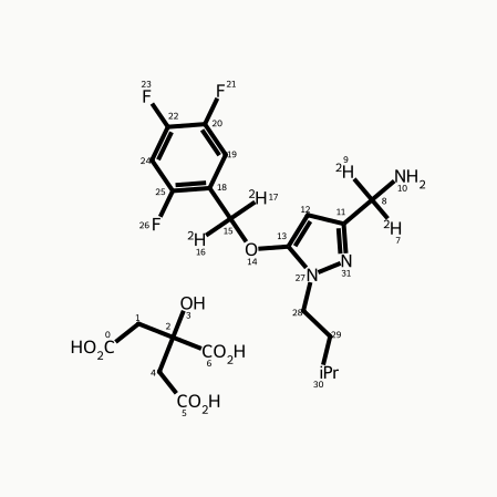 O=C(O)CC(O)(CC(=O)O)C(=O)O.[2H]C([2H])(N)c1cc(OC([2H])([2H])c2cc(F)c(F)cc2F)n(CCC(C)C)n1